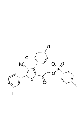 Cc1ccc(S(=O)(=O)OCC(=O)c2sc(-c3ccnc(F)c3)c(C#N)c2-c2ccc(Cl)cc2Cl)cc1